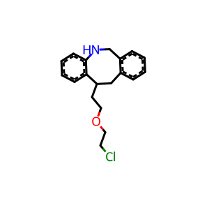 ClCCOCCC1Cc2ccccc2CNc2ccccc21